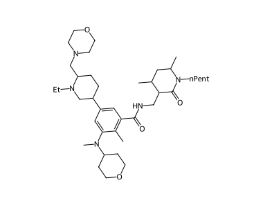 CCCCCN1C(=O)C(CNC(=O)c2cc(C3CCC(CN4CCOCC4)N(CC)C3)cc(N(C)C3CCOCC3)c2C)C(C)CC1C